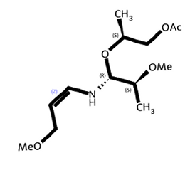 COC/C=C\N[C@H](O[C@@H](C)COC(C)=O)[C@H](C)OC